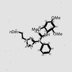 CCCCCCCCCCCCn1nnc(N(C(=O)Nc2c(OC)cc(OC)cc2OC)c2ccccc2)n1